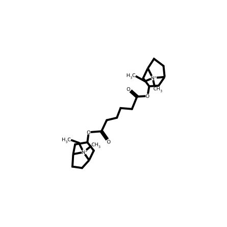 CC[N+]1(C)C2CCC1CC(OC(=O)CCCCC(=O)OC1CC3CCC(C1)[N+]3(C)CC)C2